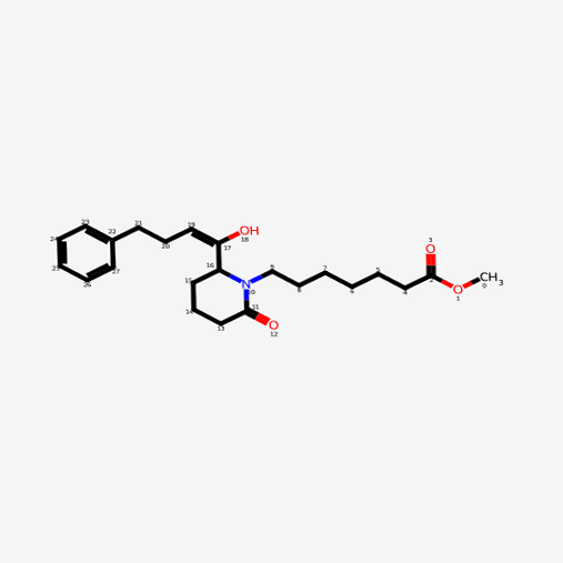 COC(=O)CCCCCCN1C(=O)CCCC1/C(O)=C\CCc1ccccc1